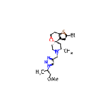 CCc1cc2c(s1)CCO[C@@]21CCN(Cc2cn(C(C)COC)nn2)[C@@H](C)C1